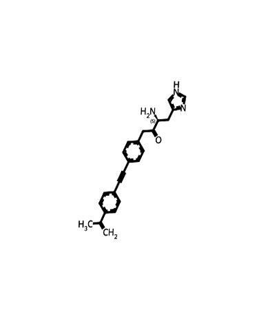 C=C(C)c1ccc(C#Cc2ccc(CC(=O)[C@@H](N)Cc3c[nH]cn3)cc2)cc1